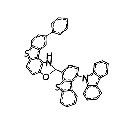 c1ccc(-c2ccc3sc4ccc5c(c4c3c2)NC(c2ccc(-n3c4ccccc4c4ccccc43)c3c2sc2ccccc23)O5)cc1